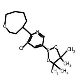 CC1(C)OB(c2cnc(C3CCCCOCC3)c(Cl)c2)OC1(C)C